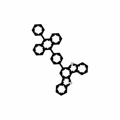 c1ccc(-c2c3ccccc3c(-c3ccc(-c4cc5c6ccccc6oc5c5c4oc4ccccc45)cc3)c3ccccc23)cc1